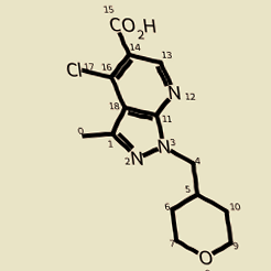 Cc1nn(CC2CCOCC2)c2ncc(C(=O)O)c(Cl)c12